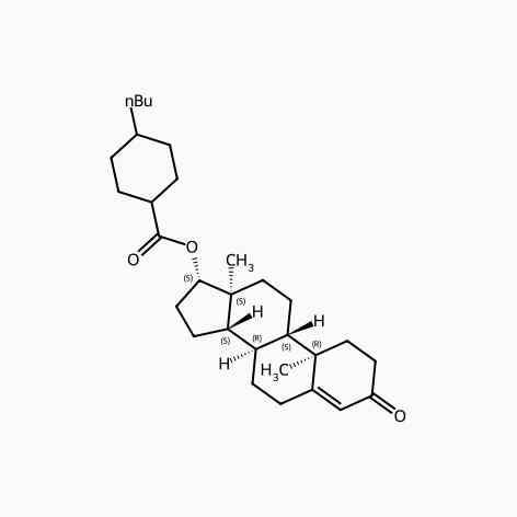 CCCCC1CCC(C(=O)O[C@H]2CC[C@H]3[C@@H]4CCC5=CC(=O)CC[C@]5(C)[C@H]4CC[C@]23C)CC1